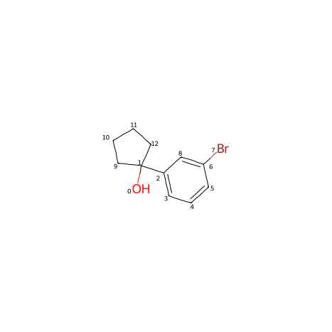 OC1(c2cccc(Br)c2)CCCC1